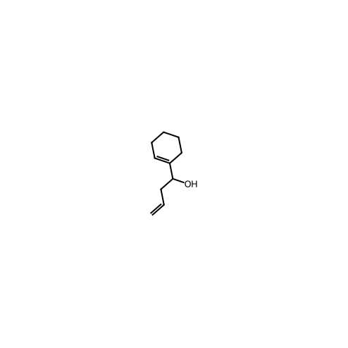 C=CCC(O)C1=CCCCC1